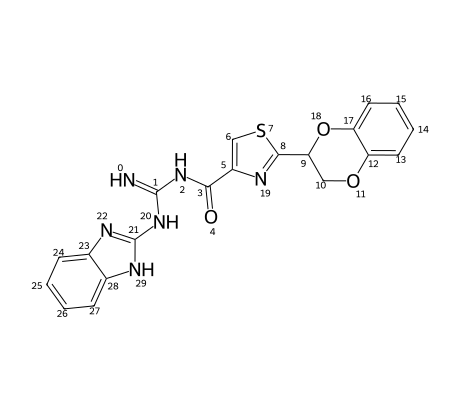 N=C(NC(=O)c1csc(C2COc3ccccc3O2)n1)Nc1nc2ccccc2[nH]1